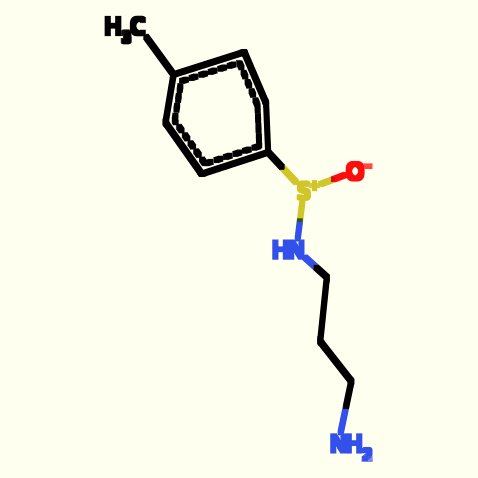 Cc1ccc([S+]([O-])NCCCN)cc1